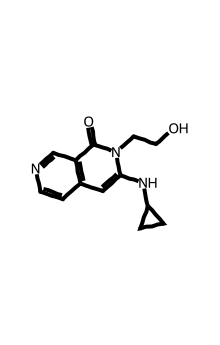 O=c1c2cnccc2cc(NC2CC2)n1CCO